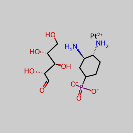 N[C@@H]1CCC(P(=O)([O-])[O-])C[C@H]1N.O=C[C@H](O)[C@H](O)[C@H](O)CO.[Pt+2]